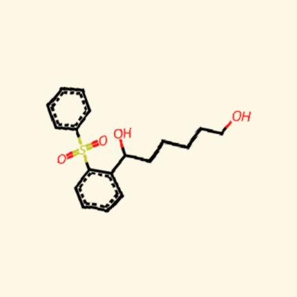 O=S(=O)(c1ccccc1)c1ccccc1C(O)CCCCCO